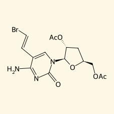 CC(=O)OC[C@@H]1C[C@@H](OC(C)=O)[C@H](n2cc(/C=C/Br)c(N)nc2=O)O1